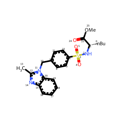 CCCC[C@H](NS(=O)(=O)c1ccc(Cn2c(C)nc3ccccc32)cc1)C(=O)OC